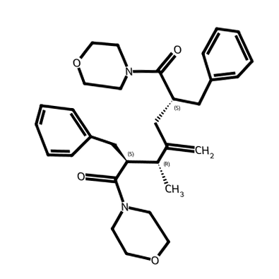 C=C(C[C@@H](Cc1ccccc1)C(=O)N1CCOCC1)[C@H](C)[C@H](Cc1ccccc1)C(=O)N1CCOCC1